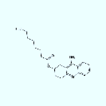 CCCCCCCC(=O)OC1CCc2nc3ccccc3c(N)c2C1